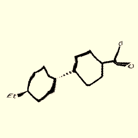 CC[C@H]1CC[C@H](C2CCC(C(=O)Cl)CC2)CC1